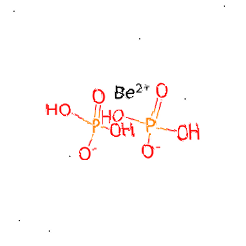 O=P([O-])(O)O.O=P([O-])(O)O.[Be+2]